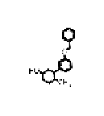 CC1CCC(O)CC1c1cccc(OCc2ccccc2)c1